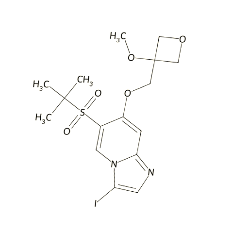 COC1(COc2cc3ncc(I)n3cc2S(=O)(=O)C(C)(C)C)COC1